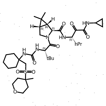 CCC[C@H](NC(=O)[C@@H]1[C@@H]2[C@H](CN1C(=O)[C@@H](NC(=O)NC1(CS(=O)(=O)C3(C)CCOCC3)CCCCC1)C(C)(C)C)C2(C)C)C(=O)C(=O)NC1CC1